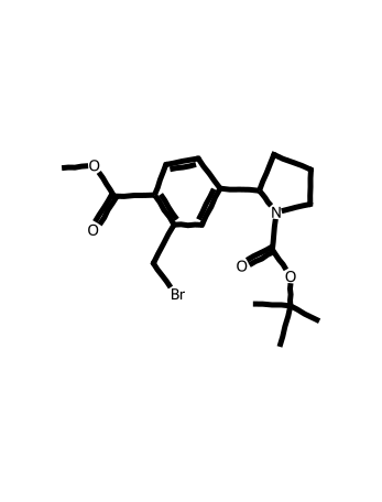 COC(=O)c1ccc(C2CCCN2C(=O)OC(C)(C)C)cc1CBr